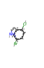 CC(C)N.Clc1ccc(Br)cc1